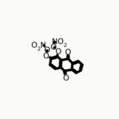 O=C1c2ccccc2C(=O)c2c1ccc(OO[N+](=O)[O-])c2OO[N+](=O)[O-]